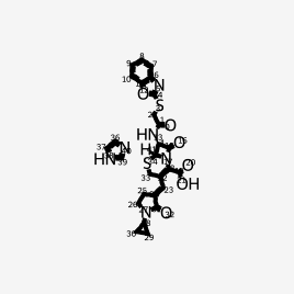 O=C(CSc1nc2ccccc2o1)N[C@@H]1C(=O)N2C(C(=O)O)=C(/C=C3\CCN(C4CC4)C3=O)CS[C@H]12.c1c[nH]cn1